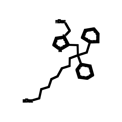 CCCCCCCCCCCCCCCCCCC(Cc1ccccc1)(Cc1nccn1CCCCCCCCCCC)c1ccccc1